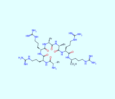 CC(C)[C@H](N)C(=O)N[C@@H](CCCNC(=N)N)C(=O)N[C@@H](CCCNC(=N)N)C(=O)N[C@H](C(=O)N[C@H](C(=O)N[C@@H](CCCNC(=N)N)C(=O)N[C@@H](CCCNC(=N)N)C(=O)O)C(C)C)C(C)C